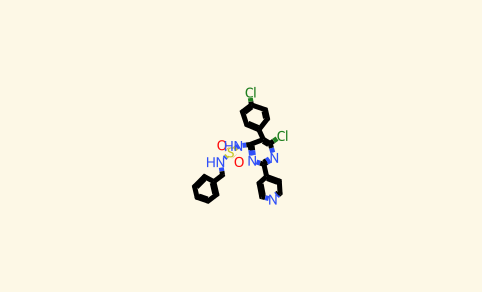 O=S(=O)(NCc1ccccc1)Nc1nc(-c2ccncc2)nc(Cl)c1-c1ccc(Cl)cc1